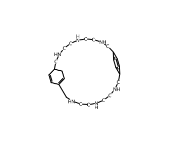 C1=CC2CC=C1CNCCNCCNCc1ccc(cc1)CNCCNCCNC2